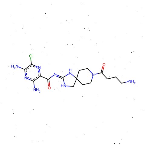 NCCCC(=O)N1CCC2(CC1)CN/C(=N\C(=O)c1nc(Cl)c(N)nc1N)N2